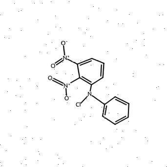 O=[N+]([O-])c1cccc(N(Cl)c2ccccc2)c1[N+](=O)[O-]